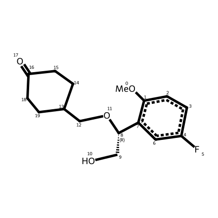 COc1ccc(F)cc1[C@H](CO)OCC1CCC(=O)CC1